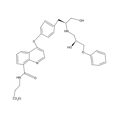 CCOC(=O)CCNC(=O)c1cccc2c(Oc3ccc(C[C@@H](CO)NC[C@H](O)COc4ccccc4)cc3)ccnc12